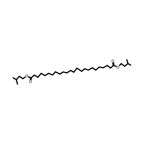 CC(C)CCOC(=O)CCCCCCCCCCCCCCCCCCCCCCC(=O)OCCC(C)C